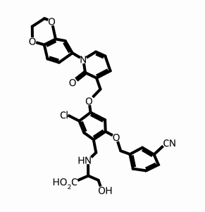 N#Cc1cccc(COc2cc(OCc3cccn(-c4ccc5c(c4)OCCO5)c3=O)c(Cl)cc2CNC(CO)C(=O)O)c1